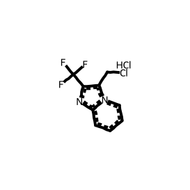 Cl.FC(F)(F)c1nc2ccccn2c1CCl